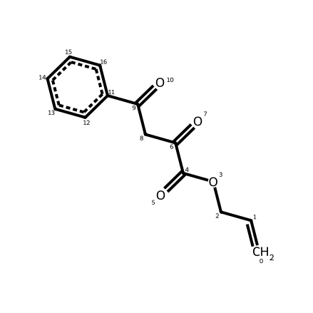 C=CCOC(=O)C(=O)CC(=O)c1ccccc1